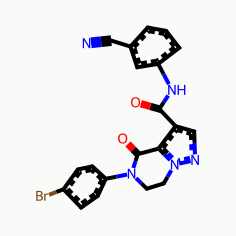 N#Cc1cccc(NC(=O)c2cnn3c2C(=O)N(c2ccc(Br)cc2)CC3)c1